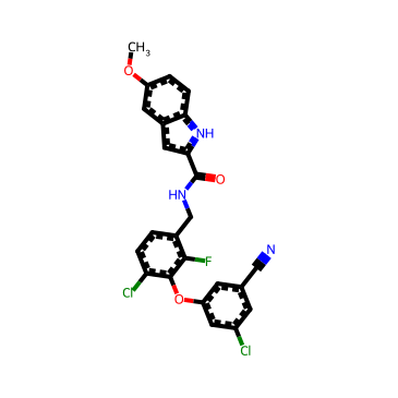 COc1ccc2[nH]c(C(=O)NCc3ccc(Cl)c(Oc4cc(Cl)cc(C#N)c4)c3F)cc2c1